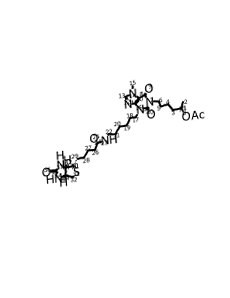 CC(=O)O[C@H](C)CCCCn1c(=O)c2c(ncn2C)n(CCCCCCNC(=O)CCCC[C@@H]2SC[C@@H]3NC(=O)N[C@@H]32)c1=O